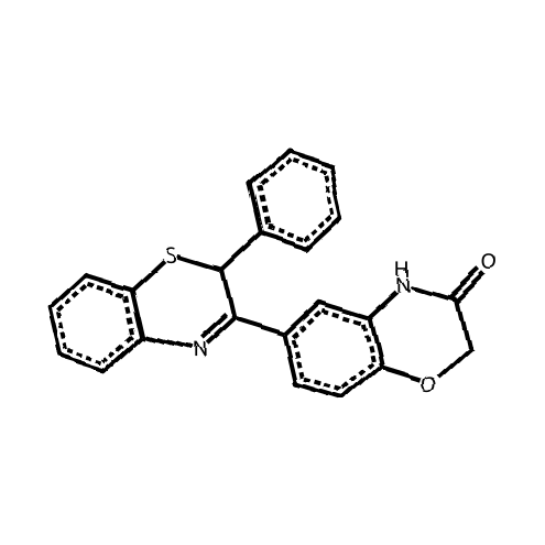 O=C1COc2ccc(C3=Nc4ccccc4SC3c3ccccc3)cc2N1